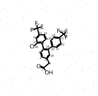 O=C(O)Cc1ccc(-c2ccc(C(F)(F)F)cc2Cl)c(-c2ccc(C(F)(F)F)cc2)c1